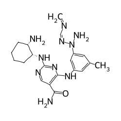 C=N/C=N\N(N)c1cc(C)cc(Nc2nc(N[C@@H]3CCCC[C@@H]3N)ncc2C(N)=O)c1